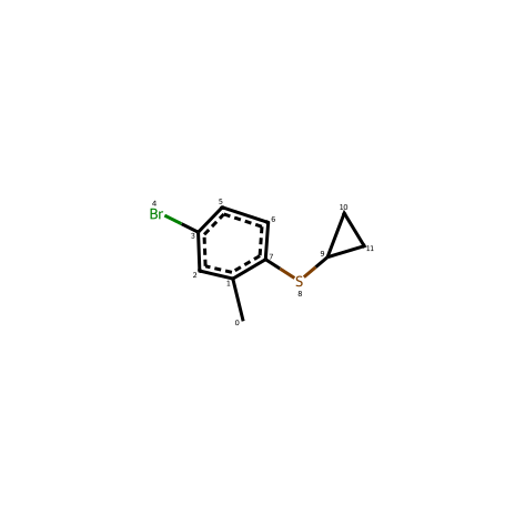 Cc1cc(Br)ccc1SC1CC1